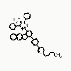 C=N/C(=N\C(=N/CC1C=CC=CC1)c1ccc(-c2ccc(-c3ccc(/C=C\C=C/C)cc3)cc2)c2c1-c1cc3ccccc3cc1C2)c1ccccc1